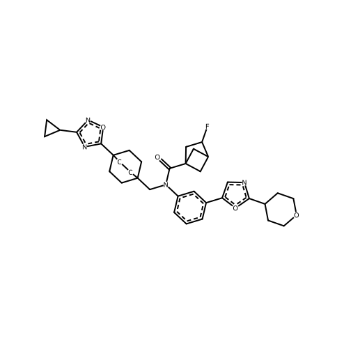 O=C(N(CC12CCC(c3nc(C4CC4)no3)(CC1)CC2)c1cccc(-c2cnc(C3CCOCC3)o2)c1)C12CC(F)C(C1)C2